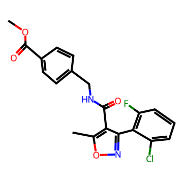 COC(=O)c1ccc(CNC(=O)c2c(-c3c(F)cccc3Cl)noc2C)cc1